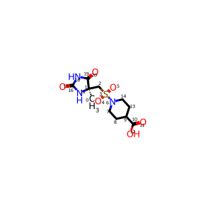 C[C@]1(CS(=O)(=O)N2CCC(C(=O)O)CC2)NC(=O)NC1=O